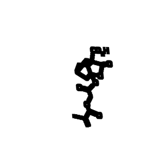 C=C(C)C(=O)OCC(=O)OC12CC3CC1C(C(=O)O)(C3)C(=O)O2